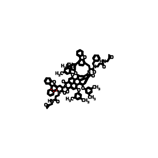 Cc1cc(C)cc(Oc2cc3c4c(cc(Oc5cc(C)cc(C)c5)c5c6c7cc8c9c(cc(Oc%10cc(C)cc(C)c%10)c(c2c45)c96)C(=O)N(C8=O)C(C(=O)N(CCC(=O)NCC2CO2)Cc2ccccc2)Cc2ccc(c4c2oc2ccccc24)-c2cc(C)cc(c2)O7)C(=O)N(C(Cc2cccc4c2oc2ccccc24)C(=O)N(CCC(=O)NCC2CO2)Cc2ccccc2)C3=O)c1